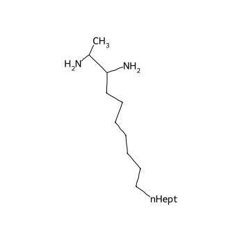 CCCCCCCCCCCCCCC(N)C(C)N